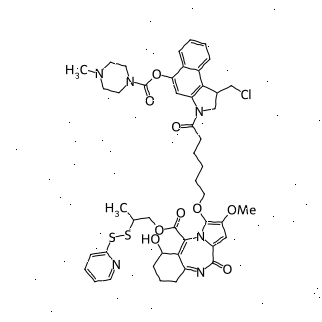 COc1cc2c(=O)nc3c(c(C(=O)OCC(C)SSc4ccccn4)n2c1OCCCCCC(=O)N1CC(CCl)c2c1cc(OC(=O)N1CCN(C)CC1)c1ccccc21)C(O)CCC3